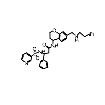 CC(C)CCNCc1ccc2c(c1)OCCC2NC(=O)CC(NS(=O)(=O)c1cccnc1)c1ccccc1